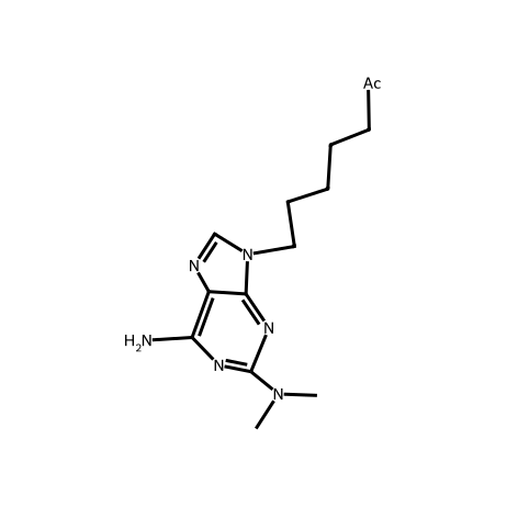 CC(=O)CCCCCn1cnc2c(N)nc(N(C)C)nc21